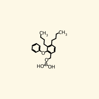 CCCCc1ccc(COB(O)O)c(Oc2ccccc2)c1CCCC